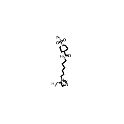 Cc1cnnn1CCCCCCNC(=O)C1CCN(S(=O)(=O)C(C)C)CC1